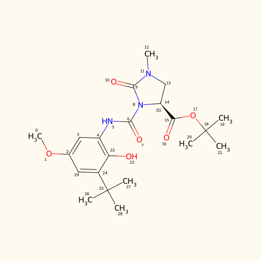 COc1cc(NC(=O)N2C(=O)N(C)C[C@H]2C(=O)OC(C)(C)C)c(O)c(C(C)(C)C)c1